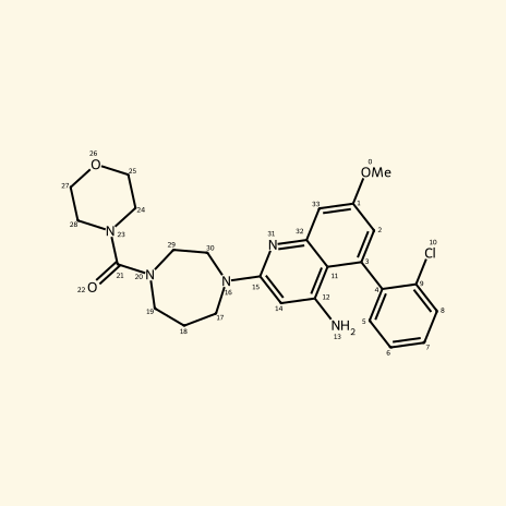 COc1cc(-c2ccccc2Cl)c2c(N)cc(N3CCCN(C(=O)N4CCOCC4)CC3)nc2c1